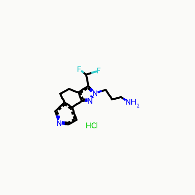 Cl.NCCCn1nc2c(c1C(F)F)CCc1cnccc1-2